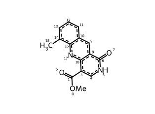 COC(=O)c1c[nH]c(=O)c2cc3cccc(C)c3nc12